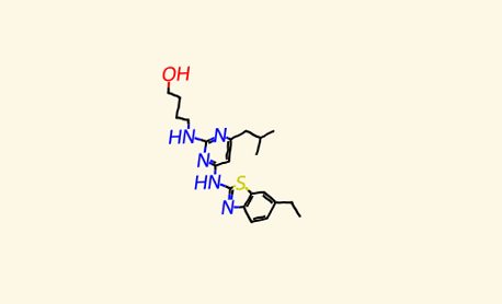 CCc1ccc2nc(Nc3cc(CC(C)C)nc(NCCCCO)n3)sc2c1